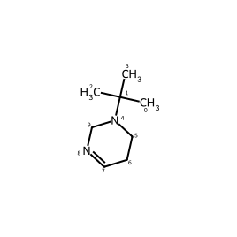 CC(C)(C)N1CCC=NC1